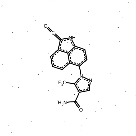 NC(=O)c1cnn(-c2ccc3[nH]c(=C=O)c4cccc2c34)c1C(F)(F)F